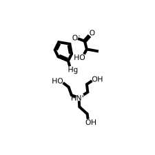 CC(O)C(=O)[O-].OCC[NH+](CCO)CCO.[Hg][c]1ccccc1